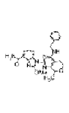 COc1nc2c(C(N)=O)cccc2n1-c1nc(NCc2ccccc2)c2c(n1)C(C)OCC2